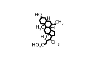 C=C[C@@H]1C[C@@H]2C[C@H](O)CC[C@]2(C)C2CC[C@@]3(C)C(CCC3[C@H](C)CCC(=O)O)[C@@H]21